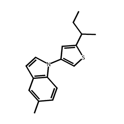 CCC(C)c1cc(-n2ccc3cc(C)ccc32)cs1